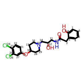 O=C(Cc1ccccc1O)NC[C@@H](O)CN1CCC(Oc2ccc(Cl)c(Cl)c2)CC1